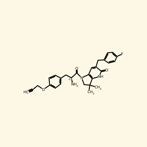 C#CCOc1ccc(C[C@H](N)C(=O)N2CC(C)(C)c3[nH]c(=O)c(Cc4ccc(F)cc4)cc32)cc1